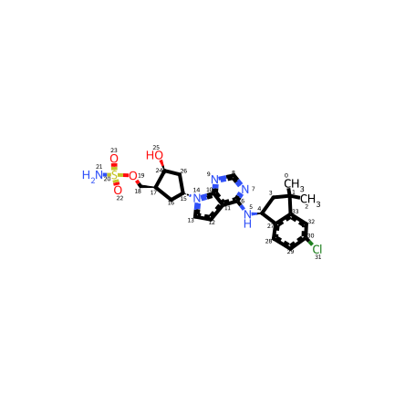 CC1(C)C[C@H](Nc2ncnc3c2ccn3[C@@H]2C[C@@H](COS(N)(=O)=O)[C@@H](O)C2)c2ccc(Cl)cc21